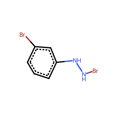 BrNNc1cccc(Br)c1